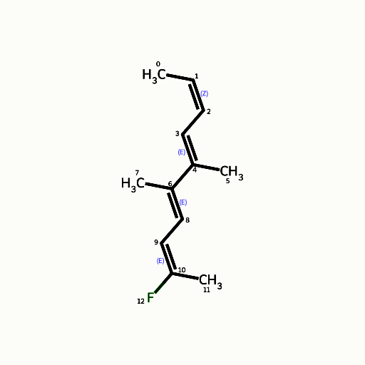 C\C=C/C=C(C)/C(C)=C/C=C(\C)F